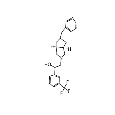 OC(CN1C[C@H]2CC(Cc3ccccc3)C[C@H]2C1)c1cccc(C(F)(F)F)c1